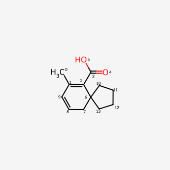 CC1=C(C(=O)O)C2(CC=C1)CCCC2